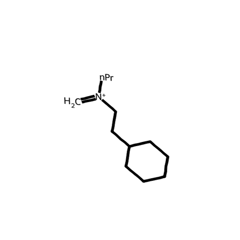 C=[N+](CCC)CCC1CCCCC1